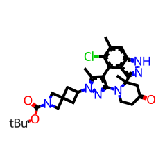 Cc1cc2[nH]ncc2c(-c2c(N3CCC(=O)CC3(C)C)nn(C3CC4(C3)CN(C(=O)OC(C)(C)C)C4)c2C)c1Cl